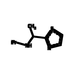 CC(C)NC(C)c1nccs1